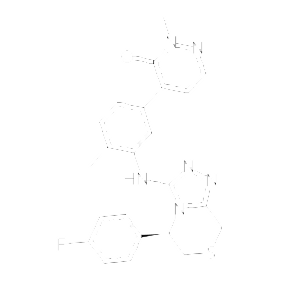 Cc1ccc(-c2ccnn(C)c2=O)cc1Nc1nnc2n1[C@H](c1ccc(F)cc1)CSC2